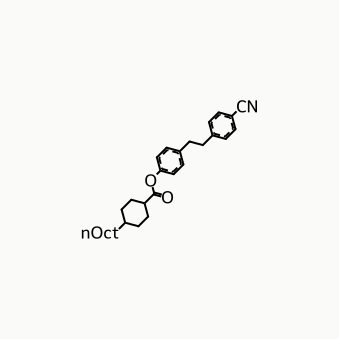 CCCCCCCCC1CCC(C(=O)Oc2ccc(CCc3ccc(C#N)cc3)cc2)CC1